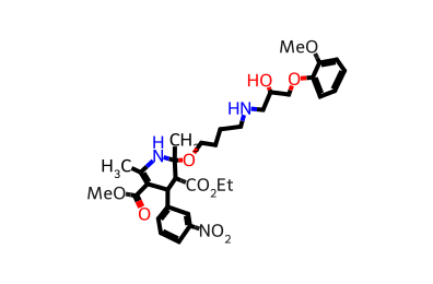 CCOC(=O)C1C(c2cccc([N+](=O)[O-])c2)C(C(=O)OC)=C(C)NC1(C)OCCCCNCC(O)COc1ccccc1OC